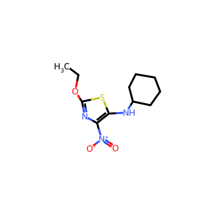 CCOc1nc([N+](=O)[O-])c(NC2CCCCC2)s1